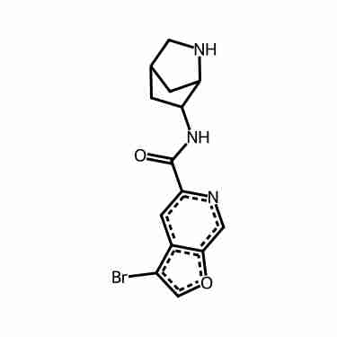 O=C(NC1CC2CNC1C2)c1cc2c(Br)coc2cn1